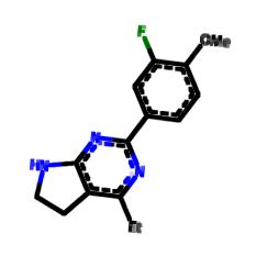 CCc1nc(-c2ccc(OC)c(F)c2)nc2c1CCN2